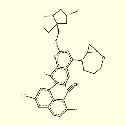 C#Cc1c(F)ccc2cc(O)cc(-c3ncc4c(N5CCCOC6CC65)nc(OC[C@@]56CCCN5C[C@H](F)C6)nc4c3F)c12